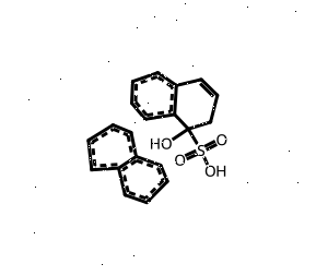 O=S(=O)(O)C1(O)CC=Cc2ccccc21.c1ccc2ccccc2c1